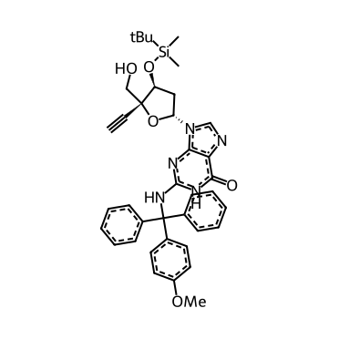 C#C[C@]1(CO)O[C@@H](n2cnc3c(=O)[nH]c(NC(c4ccccc4)(c4ccccc4)c4ccc(OC)cc4)nc32)C[C@@H]1O[Si](C)(C)C(C)(C)C